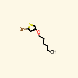 CCCCCCOc1csc(Br)c1